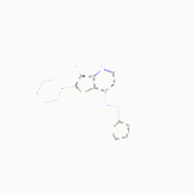 Clc1cc(NCc2cccs2)c2sc(C3CCCCC3)c(Cl)c2n1